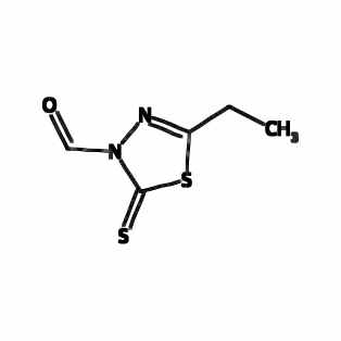 CCc1nn(C=O)c(=S)s1